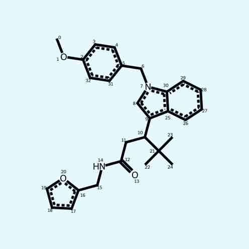 COc1ccc(Cn2cc(C(CC(=O)NCc3ccco3)C(C)(C)C)c3ccccc32)cc1